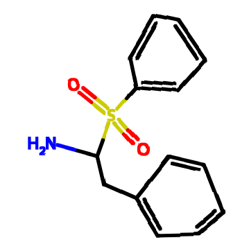 NC(Cc1ccccc1)S(=O)(=O)c1ccccc1